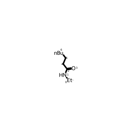 C[CH]NC(=O)CCCCCC